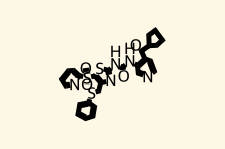 O=C(Nc1nc(CSc2ccccc2)c(S(=O)(=O)c2ccccn2)s1)Nc1cnccc1C(=O)C1CCCC1